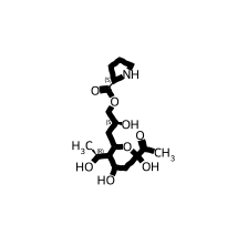 CC(=O)C1(O)CC(O)C([C@@H](C)O)C(C[C@H](O)COC(=O)[C@@H]2CCCN2)O1